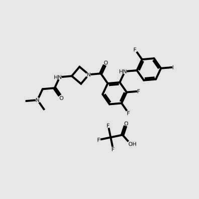 CN(C)CC(=O)NC1CN(C(=O)c2ccc(F)c(F)c2Nc2ccc(I)cc2F)C1.O=C(O)C(F)(F)F